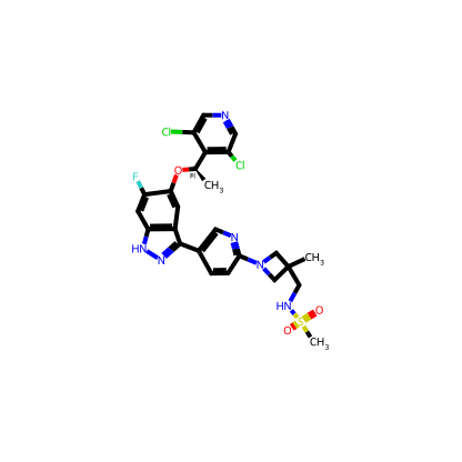 C[C@@H](Oc1cc2c(-c3ccc(N4CC(C)(CNS(C)(=O)=O)C4)nc3)n[nH]c2cc1F)c1c(Cl)cncc1Cl